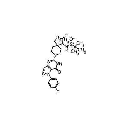 C[C@@H]1OCC2(CCN(c3nc4cnn(-c5ccc(F)cc5)c4c(=O)[nH]3)CC2)[C@@H]1N[S+]([O-])C(C)(C)C